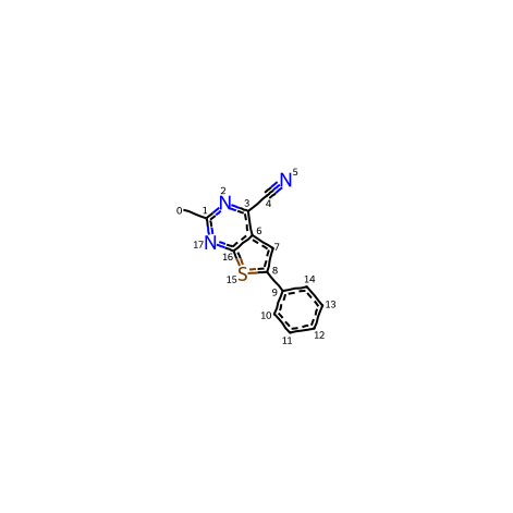 Cc1nc(C#N)c2cc(-c3ccccc3)sc2n1